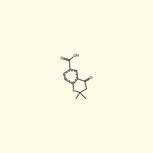 CC1(C)CC(=O)c2cc(C(=O)O)ccc2S1